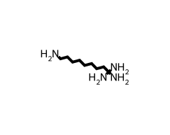 NCCCCCCCCC(N)(N)N